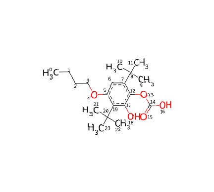 CCCCOc1cc(C(C)(C)C)c(OC(=O)O)c(O)c1C(C)(C)C